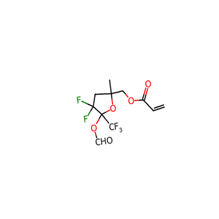 C=CC(=O)OCC1(C)CC(F)(F)C(OC=O)(C(F)(F)F)O1